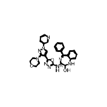 OC1Nc2ccccc2C(c2ccccc2)=N[C@@H]1Nc1nnc(-c2cn(-c3cccnc3)nc2N2CCOCC2)o1